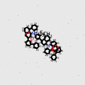 C[Si]1(C)c2cc(N(c3ccccc3-c3ccccc3)c3cccc4c3oc3c(-c5ccccc5)cccc34)ccc2-c2ccc(N(c3ccccc3-c3ccccc3)c3cccc4c3oc3c(-c5ccccc5)cccc34)c3cccc1c23